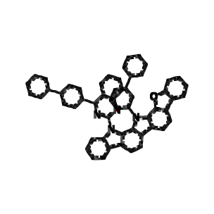 c1ccc(-c2ccc(-c3nc(-n4c5ccccc5c5ccc6c7ccc8c9ccccc9oc8c7n(-c7cccc(-c8ccccc8)c7)c6c54)nc4ccccc34)cc2)cc1